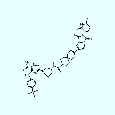 CS(=O)(=O)c1ccc(Nc2nc(N3CCC[C@@H](NC(=O)N4CCC5(CC4)CCN(c4ccc6c(c4)C(=O)N(C4CCC(=O)NC4=O)C6=O)CC5)C3)cnc2C(N)=O)cc1